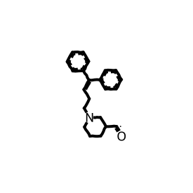 O=[C]C1CCCN(CCC=C(c2ccccc2)c2ccccc2)C1